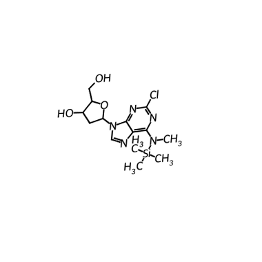 CN(c1nc(Cl)nc2c1ncn2C1CC(O)C(CO)O1)[Si](C)(C)C